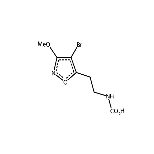 COc1noc(CCNC(=O)O)c1Br